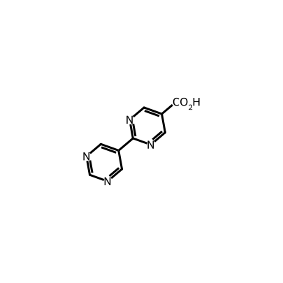 O=C(O)c1cnc(-c2cncnc2)nc1